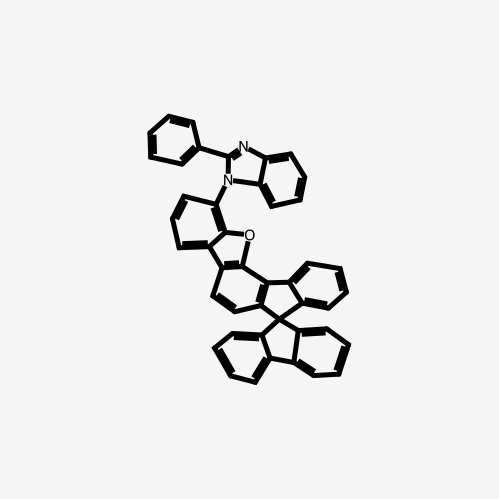 c1ccc(-c2nc3ccccc3n2-c2cccc3c2oc2c4c(ccc23)C2(c3ccccc3-c3ccccc32)c2ccccc2-4)cc1